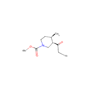 CC(=O)CC(=O)[C@H]1CN(C(=O)OC(C)(C)C)CC[C@H]1C